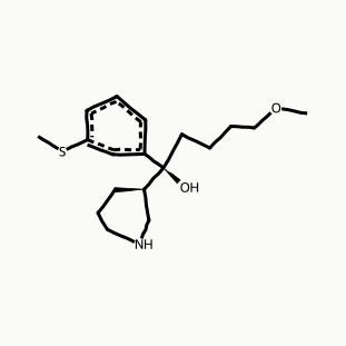 COCCCC[C@@](O)(c1cccc(SC)c1)[C@@H]1CCCNC1